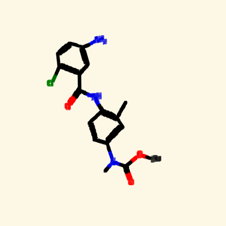 Cc1cc(N(C)C(=O)OC(C)(C)C)ccc1NC(=O)c1cc(N)ccc1Cl